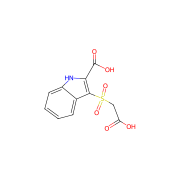 O=C(O)CS(=O)(=O)c1c(C(=O)O)[nH]c2ccccc12